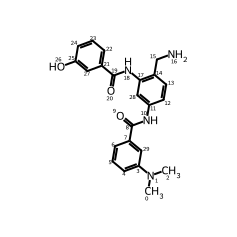 CN(C)c1cccc(C(=O)Nc2ccc(CN)c(NC(=O)c3cccc(O)c3)c2)c1